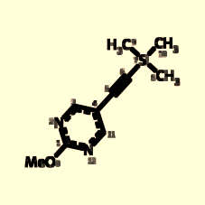 COc1ncc(C#C[Si](C)(C)C)cn1